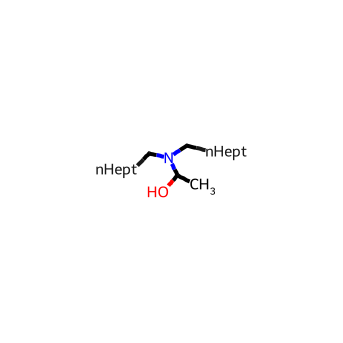 CCCCCCCCN(CCCCCCCC)C(C)O